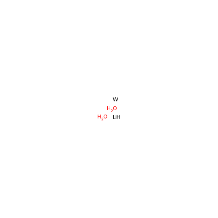 O.O.[LiH].[W]